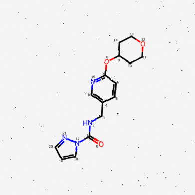 O=C(NCc1ccc(OC2CCOCC2)nc1)n1cccn1